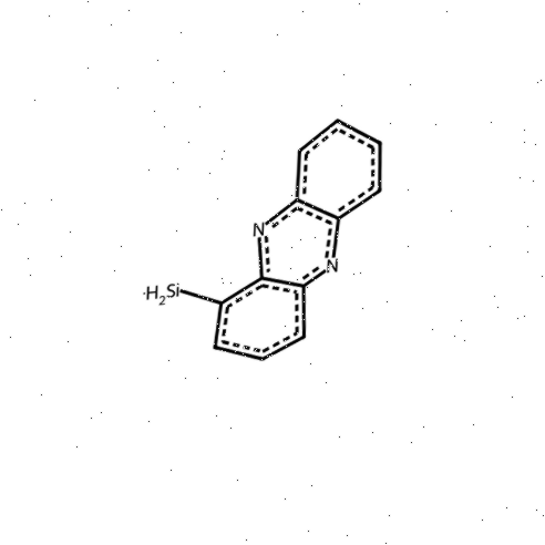 [SiH2]c1cccc2nc3ccccc3nc12